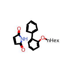 CCCCCCOc1ccccc1-c1ccccc1.O=C1C=CC(=O)N1